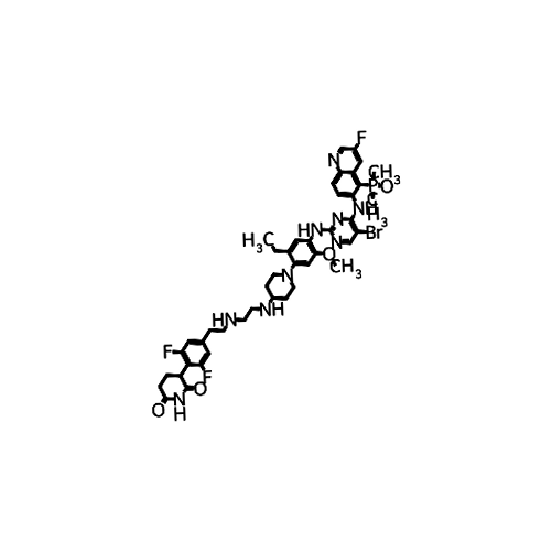 CCc1cc(Nc2ncc(Br)c(Nc3ccc4ncc(F)cc4c3P(C)(C)=O)n2)c(OC)cc1N1CCC(NCCNCCc2cc(F)c(C3CCC(=O)NC3=O)c(F)c2)CC1